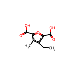 CCc1c(C(=O)O)oc(C(=O)O)c1C